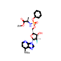 CNc1ccnc2c1ncn2[C@@H]1O[C@H](CO[P@](=O)(N[C@H](C)C(=O)OC(C)C)Oc2ccccc2)[C@@H](O)[C@@]1(C)F